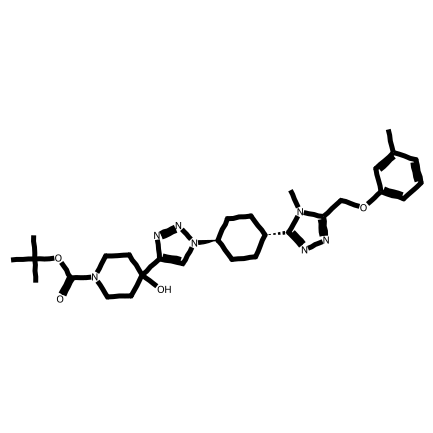 Cc1cccc(OCc2nnc([C@H]3CC[C@H](n4cc(C5(O)CCN(C(=O)OC(C)(C)C)CC5)nn4)CC3)n2C)c1